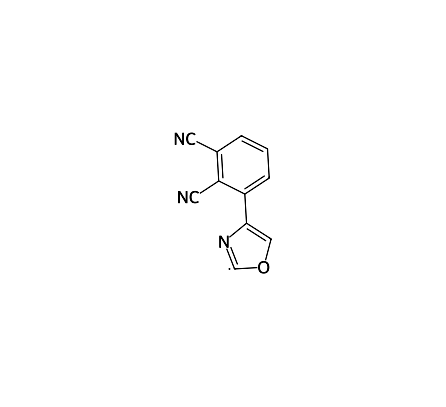 N#Cc1cccc(-c2co[c]n2)c1C#N